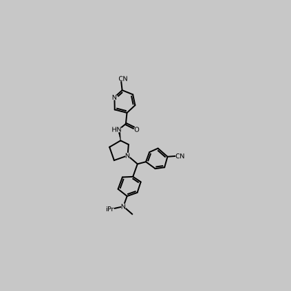 CC(C)N(C)c1ccc(C(c2ccc(C#N)cc2)N2CC[C@@H](NC(=O)c3ccc(C#N)nc3)C2)cc1